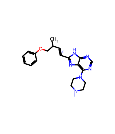 CC(/C=C/c1nc2c(N3CCNCC3)ncnc2[nH]1)COc1ccccc1